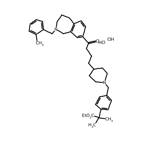 CCOC(=O)C(C)(C)c1ccc(CN2CCC(CCCC(=O)c3ccc4c(c3)CN(Cc3ccccc3C)CCC4)CC2)cc1.Cl.Cl